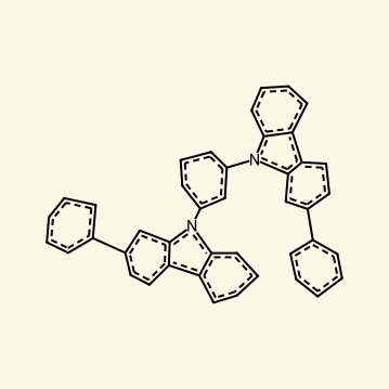 c1ccc(-c2ccc3c4ccccc4n(-c4cccc(-n5c6ccccc6c6ccc(-c7ccccc7)cc65)c4)c3c2)cc1